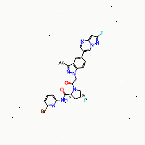 CC(=O)c1nn(CC(=O)N2C[C@H](F)C[C@H]2C(=O)Nc2cccc(Br)n2)c2ccc(-c3cnc4cc(F)nn4c3)cc12